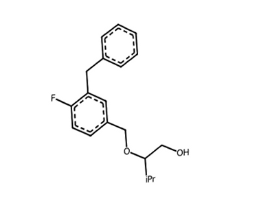 CC(C)C(CO)OCc1ccc(F)c(Cc2ccccc2)c1